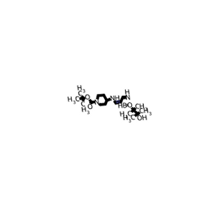 CC(C)(C)OC(=O)N1CCC(N/C=C(/BOC(C)(C)C(C)(C)O)C=N)CC1